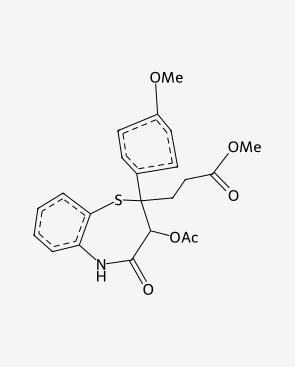 COC(=O)CCC1(c2ccc(OC)cc2)Sc2ccccc2NC(=O)C1OC(C)=O